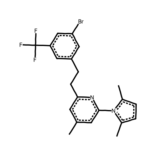 Cc1cc(CCc2cc(Br)cc(C(F)(F)F)c2)nc(-n2c(C)ccc2C)c1